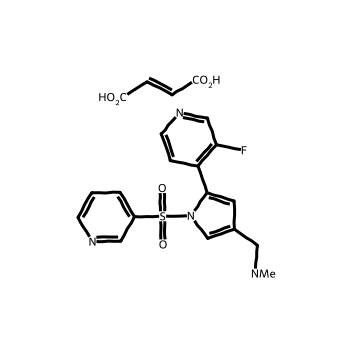 CNCc1cc(-c2ccncc2F)n(S(=O)(=O)c2cccnc2)c1.O=C(O)C=CC(=O)O